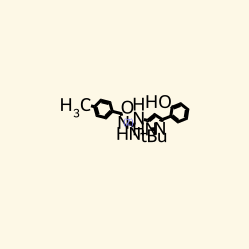 Cc1ccc(C(=O)/N=C(\Nc2cc(-c3ccccc3O)n[nH]2)NC(C)(C)C)cc1